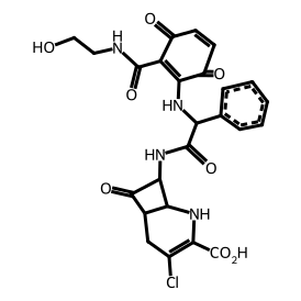 O=C(O)C1=C(Cl)CC2C(=O)C(NC(=O)C(NC3=C(C(=O)NCCO)C(=O)C=CC3=O)c3ccccc3)C2N1